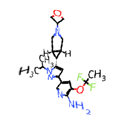 CC(C)n1nc(-c2cnc(N)c(OC(C)(F)F)c2)cc1[C@@H]1[C@@H]2CN(C3COC3)C[C@@H]21